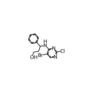 OCCC(Nc1nc(Cl)ncc1Br)c1ccccc1